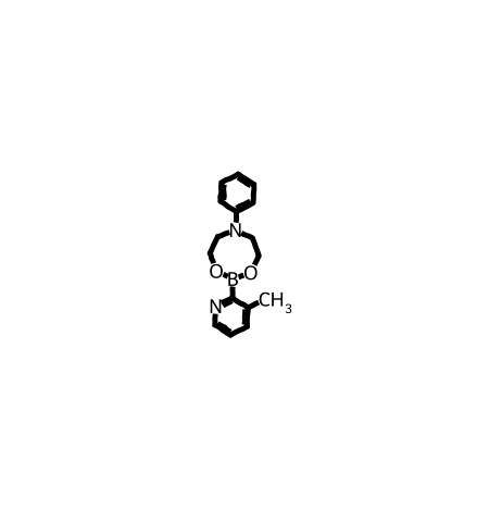 Cc1cccnc1B1OCCN(c2ccccc2)CCO1